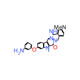 CNc1cccc(Cn2ncc3c4ccc(Oc5cccc(N)c5)cc4n(C)c3c2=O)c1C=N